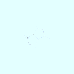 NC1COC2C(=O)COC12